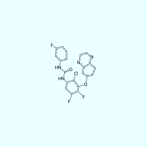 O=C(Nc1cccc(F)c1)Nc1cc(F)c(F)c(Oc2ccc3nccnc3c2)c1Cl